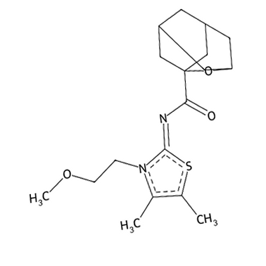 COCCn1c(C)c(C)sc1=NC(=O)C12CC3CC(CC(C3)O1)C2